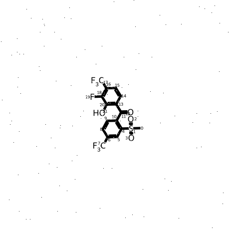 CS(=O)(=O)c1cc(C(F)(F)F)ccc1C(=O)c1ccc(C(F)(F)F)c(F)c1O